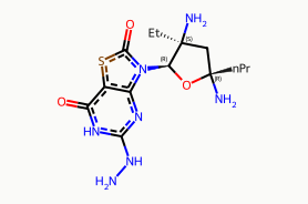 CCC[C@]1(N)C[C@@](N)(CC)[C@H](n2c(=O)sc3c(=O)[nH]c(NN)nc32)O1